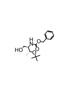 C[C@@H](OC(C)(C)C)[C@@H](CO)NC(=O)OCc1ccccc1